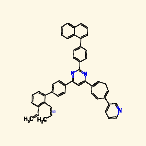 C=Cc1cccc(-c2ccc(-c3cc(C4=CCC=C(c5cccnc5)C=C4)nc(-c4ccc(-c5cccc6ccccc56)cc4)n3)cc2)c1/C=C\C